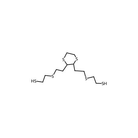 SCCSCCC1SCCSC1CCSCCS